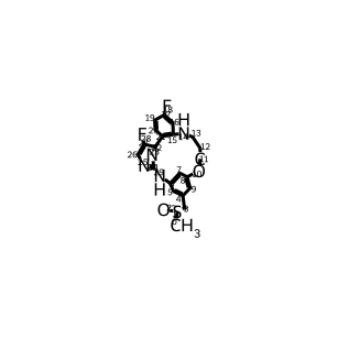 C[S+]([O-])Cc1cc2cc(c1)OCCCNc1cc(F)ccc1-c1nc(ncc1F)N2